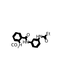 CCC(=O)Nc1cccc(NC(=O)c2ccccc2C(=O)O)c1